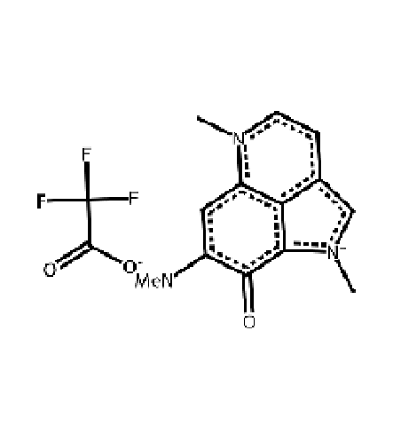 CNc1cc2c3c(ccn2C)c[n+](C)c3c1=O.O=C([O-])C(F)(F)F